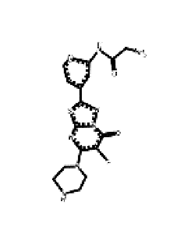 NCC(=O)Nc1cc(-c2nn3c(=O)c(F)c(N4CCNCC4)nc3s2)ccn1